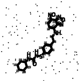 O=C(NSc1ccc(CCNc2ccc([N+](=O)[O-])c3nonc23)cc1)NC1CCCCC1